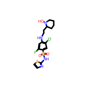 O=S(=O)(Nc1nccs1)c1cc(Cl)c(NCCC2CCCCN2O)cc1F